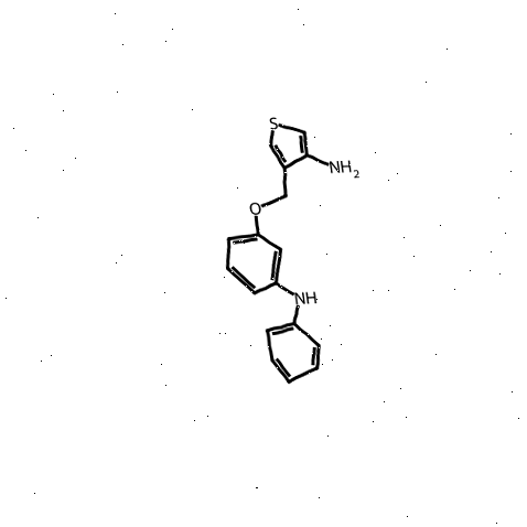 Nc1cscc1COc1cccc(Nc2ccccc2)c1